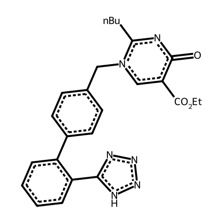 CCCCc1nc(=O)c(C(=O)OCC)cn1Cc1ccc(-c2ccccc2-c2nnn[nH]2)cc1